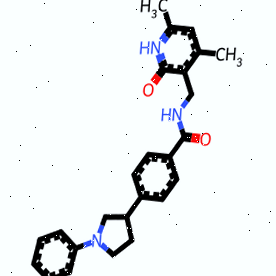 Cc1cc(C)c(CNC(=O)c2ccc(C3CCN(c4ccccc4)C3)cc2)c(=O)[nH]1